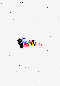 Cc1oc(/[SH](=O)=N/C(=O)Nc2c3c(cc4c2CCC4)CCC3)cc1C(C)(C)O